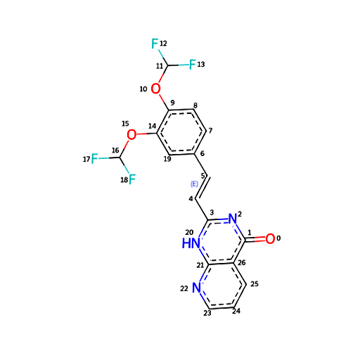 O=c1nc(/C=C/c2ccc(OC(F)F)c(OC(F)F)c2)[nH]c2ncccc12